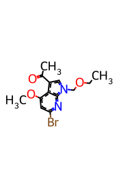 CCOCn1cc(C(C)=O)c2c(OC)cc(Br)nc21